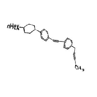 CC#CCc1ccc(C#Cc2ccc(C3CCC(CCCCCC)CC3)cc2)cc1